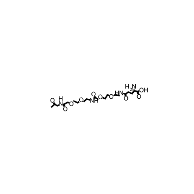 CC(=O)CNC(=O)COCCOCCNC(=O)COCCOCCNC(=O)CC[C@H](N)C(=O)O